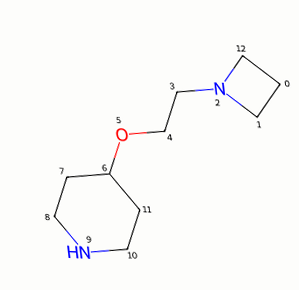 C1CN(CCOC2CCNCC2)C1